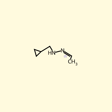 C/C=N\NCC1CC1